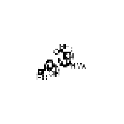 CNc1cc(NC2=CC=CN([C@H]3CC[C@H]3O)C2O)nc2c(C(N)=O)cnn12